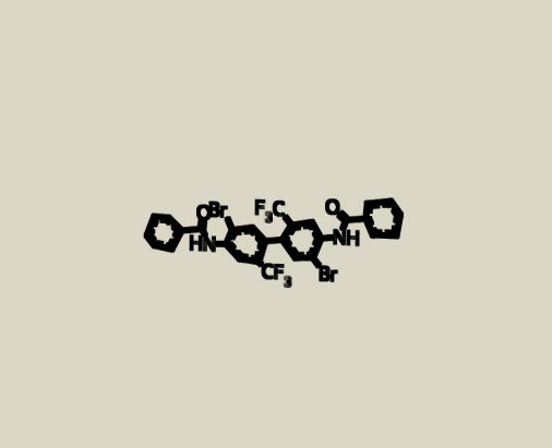 O=C(Nc1cc(C(F)(F)F)c(-c2cc(Br)c(NC(=O)c3ccccc3)cc2C(F)(F)F)cc1Br)c1ccccc1